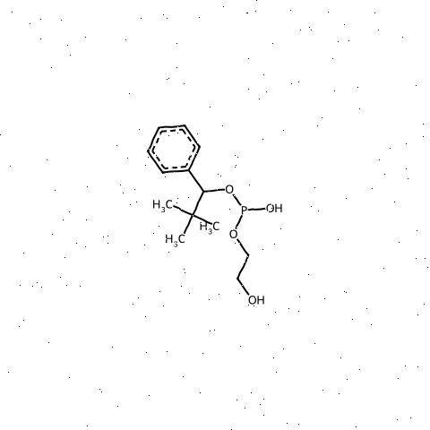 CC(C)(C)C(OP(O)OCCO)c1ccccc1